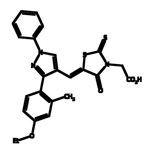 CCOc1ccc(-c2nn(-c3ccccc3)cc2C=C2SC(=S)N(CC(=O)O)C2=O)c(C)c1